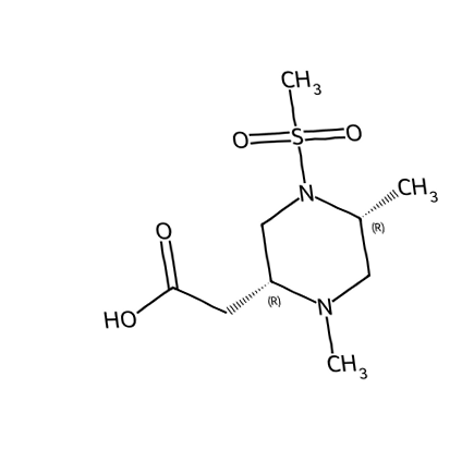 C[C@@H]1CN(C)[C@H](CC(=O)O)CN1S(C)(=O)=O